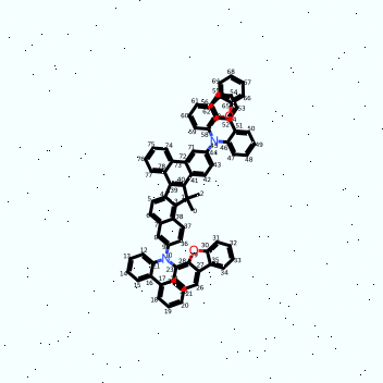 CC1(C)c2c(ccc3cc(N(c4ccccc4-c4ccccc4)c4cccc5c4oc4ccccc45)ccc23)-c2c1c1ccc(N(c3ccccc3-c3ccccc3)c3cccc4c3oc3ccccc34)cc1c1ccccc21